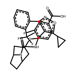 O=C(O)c1ccc(NC(=O)N2C3CCC2CC(OCc2c(-c4ccccc4C(F)(F)F)noc2C2CC2)C3)c(F)c1